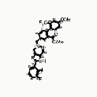 COC(=O)c1cc(CN2Cc3nc(-c4cccc(F)c4F)[nH]c3C=N2)ccc1-c1ccc(OC)cc1C(F)(F)F